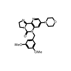 COc1cc(CN2C(=O)N3CCN=C3c3ncc(N4CCOCC4)cc32)cc(OC)c1